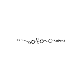 CCCCCC=C[C@H]1CC[C@H](CCc2ccc(OC(=O)c3ccc(OCCCCC[C@@H](C)CC)cc3)cc2)CC1